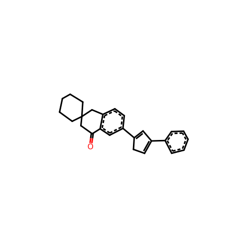 O=C1CC2(CCCCC2)Cc2ccc(C3=CC(c4ccccc4)=CC3)cc21